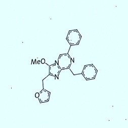 COc1c(Cc2ccco2)nc2c(Cc3ccccc3)nc(-c3ccccc3)cn12